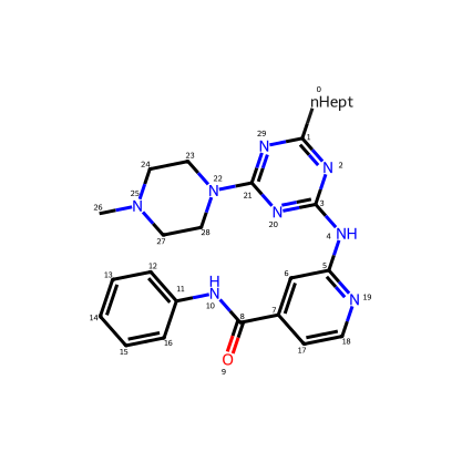 CCCCCCCc1nc(Nc2cc(C(=O)Nc3ccccc3)ccn2)nc(N2CCN(C)CC2)n1